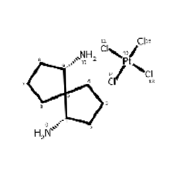 N[C@H]1CCCC12CCC[C@@H]2N.[Cl][Pt]([Cl])([Cl])[Cl]